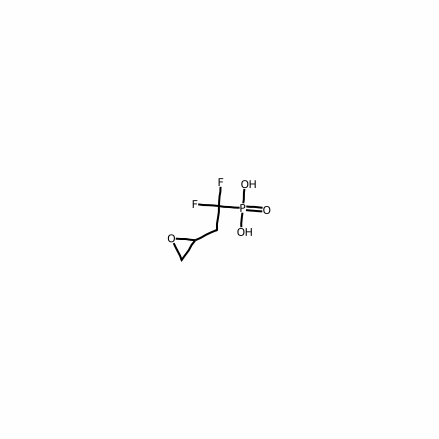 O=P(O)(O)C(F)(F)CC1CO1